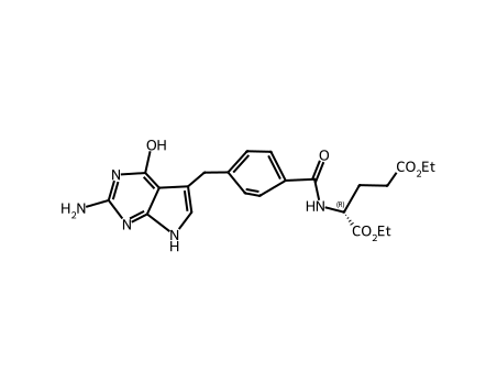 CCOC(=O)CC[C@@H](NC(=O)c1ccc(Cc2c[nH]c3nc(N)nc(O)c23)cc1)C(=O)OCC